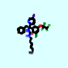 N#CCCCCCNC(=O)N[C@@](Cc1ccccc1)(c1cc(F)cc(OC(F)(F)C(F)F)c1)c1ccc(I)cn1